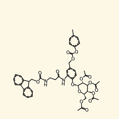 CC(=O)OC[C@H]1O[C@@H](Oc2ccc(COC(=O)Oc3ccc(C)cc3)cc2NC(=O)CCNC(=O)OCC2c3ccccc3-c3ccccc32)[C@H](OC(C)=O)[C@@H](OC(C)=O)[C@H]1OC(C)=O